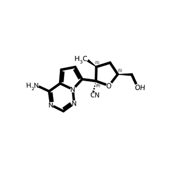 C[C@H]1C[C@@H](CO)O[C@@]1(C#N)c1ccc2c(N)ncnn12